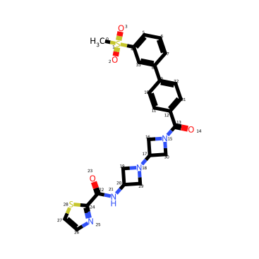 CS(=O)(=O)c1cccc(-c2ccc(C(=O)N3CC(N4CC(NC(=O)c5nccs5)C4)C3)cc2)c1